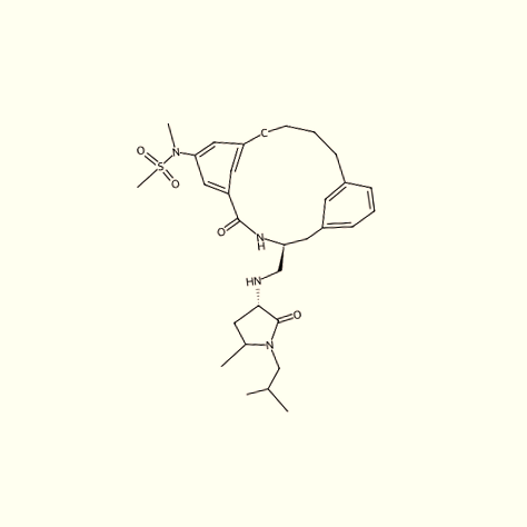 CC(C)CN1C(=O)[C@@H](NC[C@@H]2Cc3cccc(c3)CCCCc3cc(cc(N(C)S(C)(=O)=O)c3)C(=O)N2)CC1C